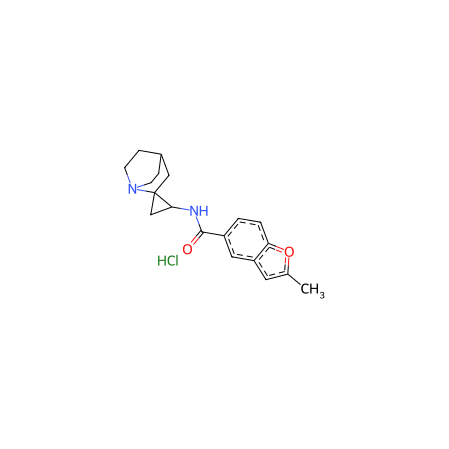 Cc1cc2cc(C(=O)NC3CC34CC3CCN4CC3)ccc2o1.Cl